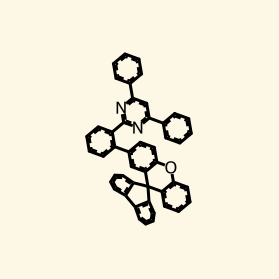 c1ccc(-c2cc(-c3ccccc3)nc(-c3ccccc3-c3ccc4c(c3)C3(c5ccccc5O4)c4ccccc4-c4ccccc43)n2)cc1